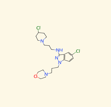 Clc1ccc2c(c1)c(NCCCN1CCC(Cl)CC1)nn2CCCN1CCOCC1